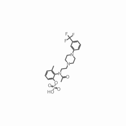 CC(=O)N(CCN1CCN(c2cccc(C(F)(F)F)c2)CC1)c1c(C)cccc1OS(=O)(=O)O